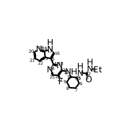 CCNC(=O)N[C@@H]1CCCCC1Nc1nc(-c2c[nH]c3ncccc23)ncc1F